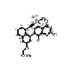 COCOc1cc(-c2ncc3c(Cl)nc(Cl)nc3c2F)c2c(C#C[Si](C(C)C)(C(C)C)C(C)C)cccc2c1